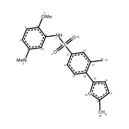 CNc1ccc(OC)c(NS(=O)(=O)c2ccc(-c3ccc(C)o3)c(F)c2)c1